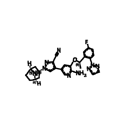 C[C@@H](Oc1cc(-c2cn([C@@H]3C[C@H]4CC[C@@H](C3)N4)nc2C#N)cnc1N)c1cc(F)ccc1-n1nccn1